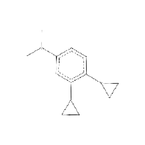 C[C](C)c1ccc(C2CC2)c(C2CC2)c1